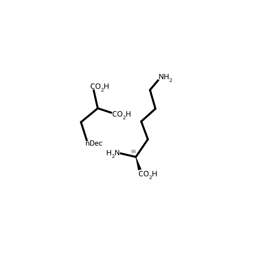 CCCCCCCCCCCC(C(=O)O)C(=O)O.NCCCC[C@H](N)C(=O)O